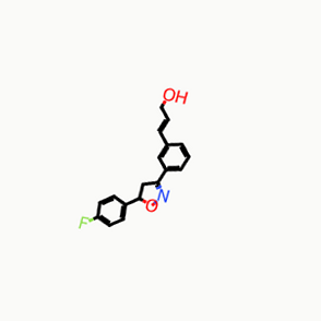 OC/C=C/c1cccc(C2=NOC(c3ccc(F)cc3)C2)c1